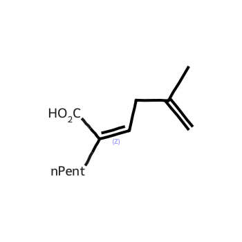 C=C(C)C/C=C(/CCCCC)C(=O)O